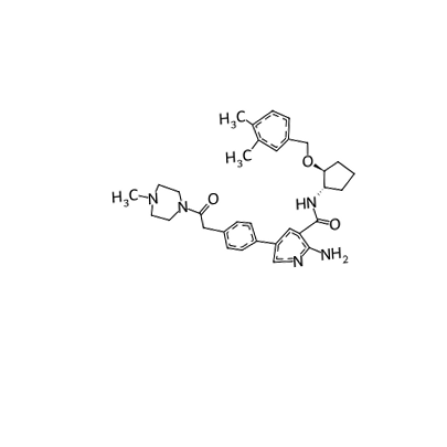 Cc1ccc(CO[C@H]2CCC[C@@H]2NC(=O)c2cc(-c3ccc(CC(=O)N4CCN(C)CC4)cc3)cnc2N)cc1C